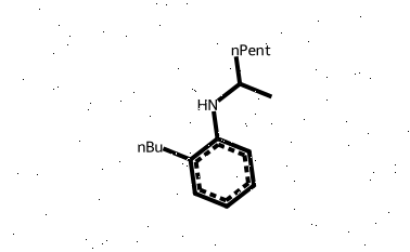 CCCCCC(C)Nc1ccccc1CCCC